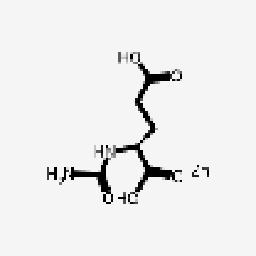 NC(=O)N[C@@H](CCC(=O)O)C(=O)O.[Zn]